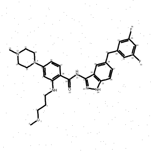 COCCCNc1cc(N2CCN(C)CC2)ccc1C(=O)Nc1n[nH]c2ccc(Cc3cc(F)cc(F)c3)cc12